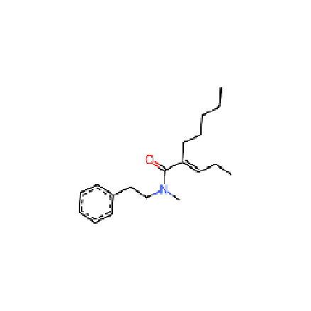 CCC=C(CCCCC)C(=O)N(C)CCc1ccccc1